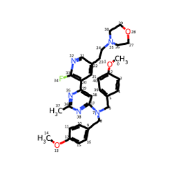 COc1ccc(CN(Cc2ccc(OC)cc2)c2cc(-c3cc(CCN4CCOCC4)cnc3F)nc(C)n2)cc1